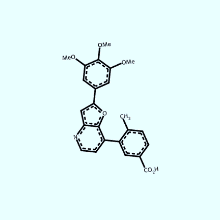 COc1cc(-c2cc3nccc(-c4cc(C(=O)O)ccc4C)c3o2)cc(OC)c1OC